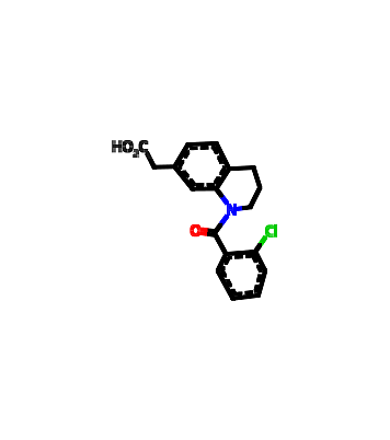 O=C(O)Cc1ccc2c(c1)N(C(=O)c1ccccc1Cl)CCC2